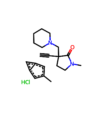 C#CC1(CN2CCCCC2)CCN(C)C1=O.Cc1cc2cc-2c1.Cl